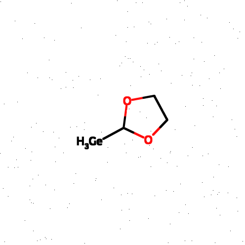 [GeH3][CH]1OCCO1